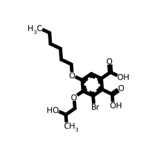 CCCCCCOc1cc(C(=O)O)c(C(=O)O)c(Br)c1OCC(C)O